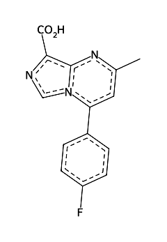 Cc1cc(-c2ccc(F)cc2)n2cnc(C(=O)O)c2n1